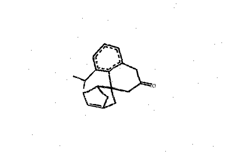 CC(C)c1cccc2c1C1(CC(=O)C2)CC2=CCC1C2